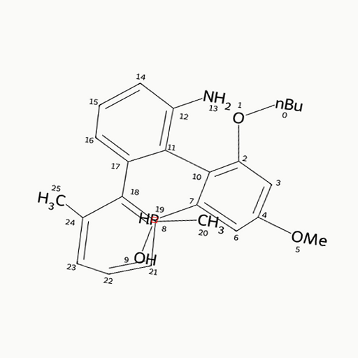 CCCCOc1cc(OC)cc(PO)c1-c1c(N)cccc1-c1c(C)cccc1C